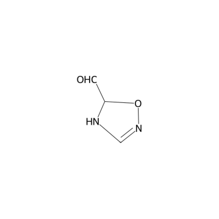 O=CC1NC=NO1